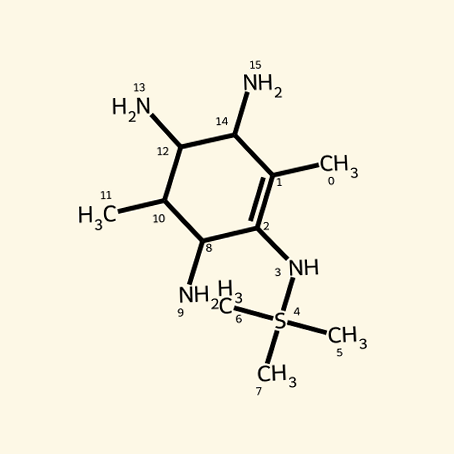 CC1=C(NS(C)(C)C)C(N)C(C)C(N)C1N